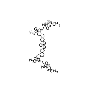 Cc1cnc(NC(=O)CC[C@@H]2CC(=O)[C@@]3(C)CCC4c5ccc(OC(=O)Oc6ccc7c(c6)CCC6C7CC[C@]7(C)C(=O)C[C@@H](CCC(=O)Nc8ncc(C)s8)C67)cc5CCC4C23)s1